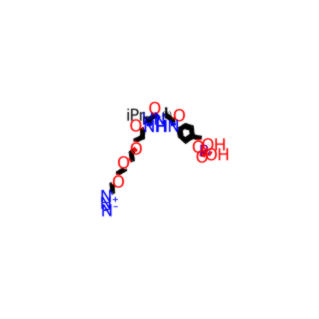 CC(C)[C@H](NC(=O)CCOCCOCCOCCN=[N+]=[N-])C(=O)N[C@@H](C)C(=O)Nc1ccc(COP(=O)(O)O)cc1